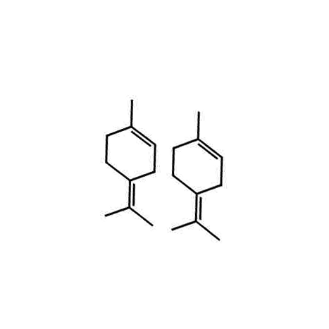 CC1=CCC(=C(C)C)CC1.CC1=CCC(=C(C)C)CC1